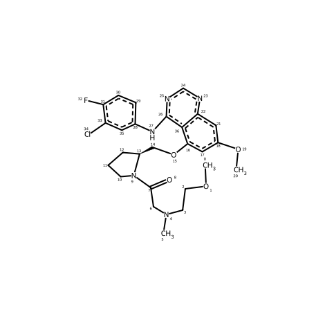 COCCN(C)CC(=O)N1CCC[C@H]1COc1cc(OC)cc2ncnc(Nc3ccc(F)c(Cl)c3)c12